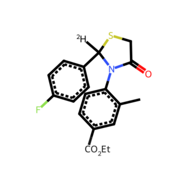 [2H]C1(c2ccc(F)cc2)SCC(=O)N1c1ccc(C(=O)OCC)cc1C